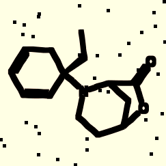 CC[C@@]1(N2CCC3CC2C(=O)O3)C=CC=CC1